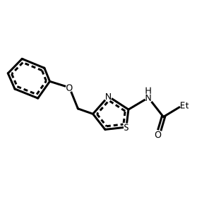 CCC(=O)Nc1nc(COc2ccccc2)cs1